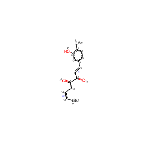 COc1ccc(/C=C/C(=O)C(=O)C/C=C\C(C)(C)C)cc1O